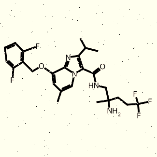 Cc1cc(OCc2c(F)cccc2F)c2nc(C(C)C)c(C(=O)NCC(C)(N)CCC(F)(F)F)n2c1